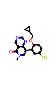 Cn1cc(-c2cc(S)ccc2OCC2CC2)c2ncncc2c1=O